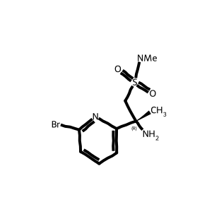 CNS(=O)(=O)C[C@](C)(N)c1cccc(Br)n1